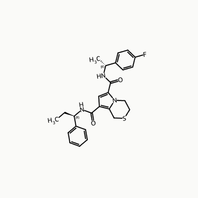 CC[C@@H](NC(=O)c1cc(C(=O)N[C@H](C)c2ccc(F)cc2)n2c1CSCC2)c1ccccc1